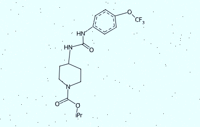 CC(C)OC(=O)N1CCC(NC(=O)Nc2ccc(OC(F)(F)F)cc2)CC1